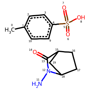 Cc1ccc(S(=O)(=O)O)cc1.NN1C(=O)C2CCC1C2